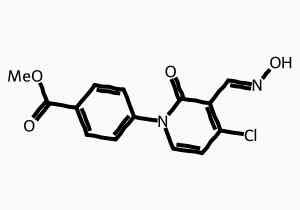 COC(=O)c1ccc(-n2ccc(Cl)c(/C=N/O)c2=O)cc1